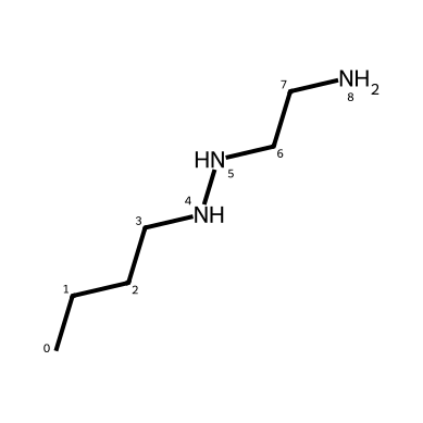 CCCCNNCCN